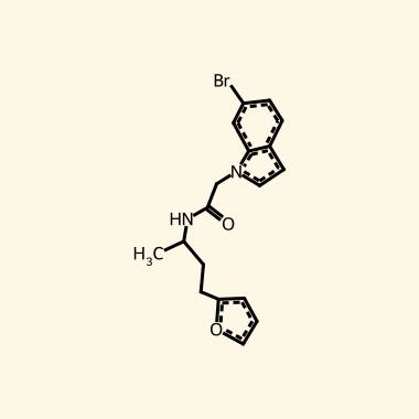 CC(CCc1ccco1)NC(=O)Cn1ccc2ccc(Br)cc21